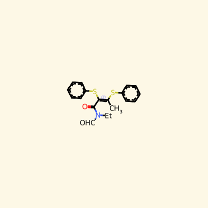 CCN(C=O)C(=O)/C(Sc1ccccc1)=C(\C)Sc1ccccc1